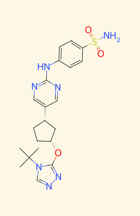 CC(C)(C)n1cnnc1O[C@@H]1CC[C@H](c2cnc(Nc3ccc(S(N)(=O)=O)cc3)nc2)C1